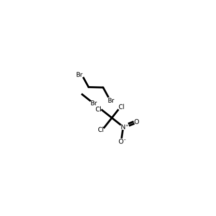 BrCCBr.CBr.O=[N+]([O-])C(Cl)(Cl)Cl